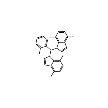 Cc1ccccc1C(C1C=Cc2c(C)ccc(C)c21)C1C=Cc2c(C)ccc(C)c21